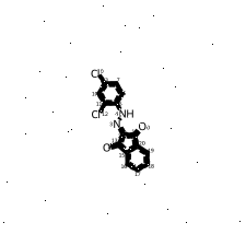 O=c1c(=NNc2ccc(Cl)cc2Cl)c(=O)c2ccccc12